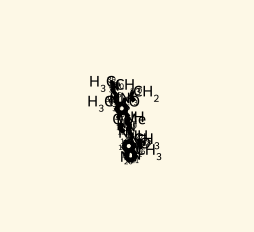 C=CC(=O)Nc1cc(Nc2ncnc(Nc3ccc4nccnc4c3P(C)(C)=O)n2)c(OC)cc1N(C)CCN(C)C